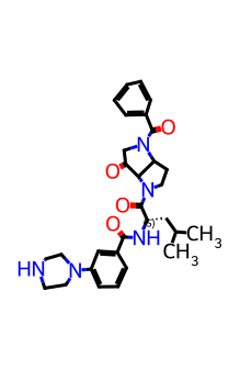 CC(C)C[C@H](NC(=O)c1cccc(N2CCNCC2)c1)C(=O)N1CCC2C1C(=O)CN2C(=O)c1ccccc1